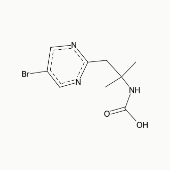 CC(C)(Cc1ncc(Br)cn1)NC(=O)O